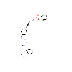 Cc1ccc(S(=O)(=O)OCCC#Cc2ccc(CN3CCN(c4cccc5c4OCCO5)CC3)cc2)cc1